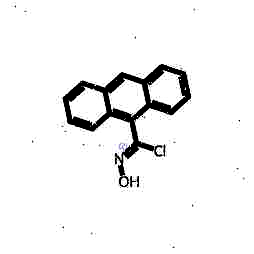 O/N=C(\Cl)c1c2ccccc2cc2ccccc12